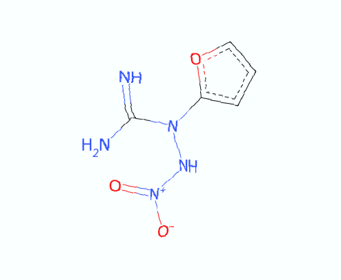 N=C(N)N(N[N+](=O)[O-])c1ccco1